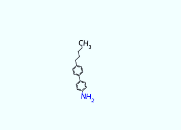 CCCCCc1ccc(-c2ccc(N)cc2)cc1